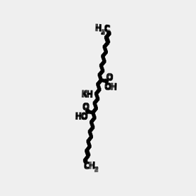 C=CC=CCCCCCCCC(CCCCCCC(CCCCCCCC=CC=C)C(=O)O)C(=O)O.[KH]